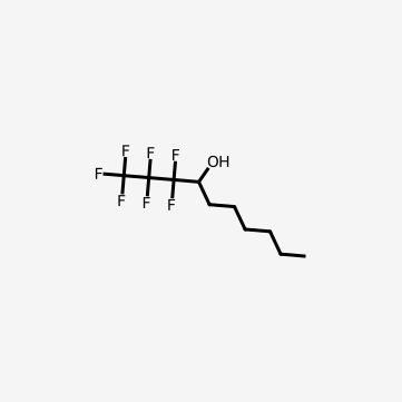 CCCCCCC(O)C(F)(F)C(F)(F)C(F)(F)F